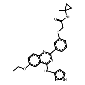 CCOc1ccc2nc(-c3cccc(OCC(=O)NC4(C)CC4)c3)nc(Nc3cc[nH]n3)c2c1